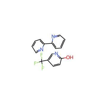 Oc1ccc(C(F)(F)F)cn1.c1ccc(-c2ccccn2)nc1